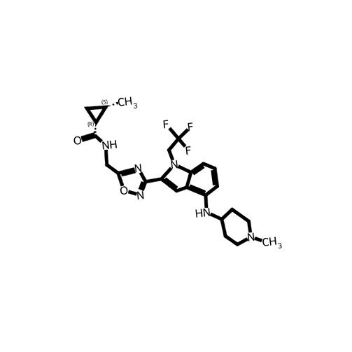 C[C@H]1C[C@H]1C(=O)NCc1nc(-c2cc3c(NC4CCN(C)CC4)cccc3n2CC(F)(F)F)no1